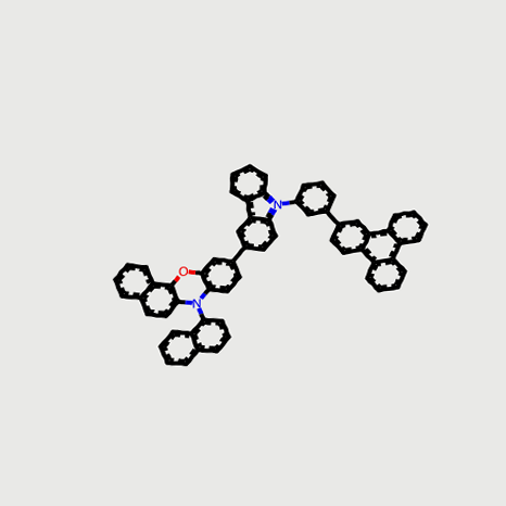 c1cc(-c2ccc3c4ccccc4c4ccccc4c3c2)cc(-n2c3ccccc3c3cc(-c4ccc5c(c4)Oc4c(ccc6ccccc46)N5c4cccc5ccccc45)ccc32)c1